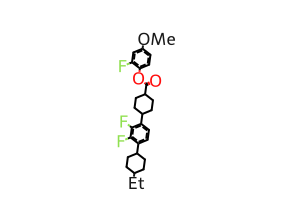 CCC1CCC(c2ccc(C3CCC(C(=O)Oc4ccc(OC)cc4F)CC3)c(F)c2F)CC1